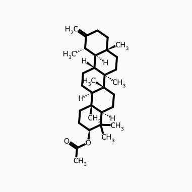 C=C1CC[C@]2(C)CC[C@]3(C)[C@H](CC[C@@H]4[C@@]5(C)CC[C@H](OC(C)=O)C(C)(C)[C@@H]5CC[C@]43C)[C@H]2[C@@H]1C